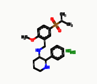 COc1ccc(S(=O)(=O)C(C)C)cc1CNC1CCCNC1c1ccccc1.Cl.Cl